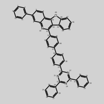 c1ccc(-c2ccc3c(c2)nc(-c2ccc(-c4ccc(-c5nc(-c6ccccc6)nc(-c6ccccc6)n5)cc4)cc2)c2c4ccccc4oc32)cc1